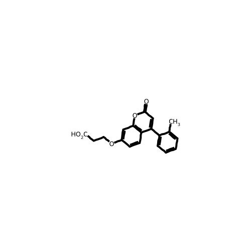 Cc1ccccc1-c1cc(=O)oc2cc(OCCC(=O)O)ccc12